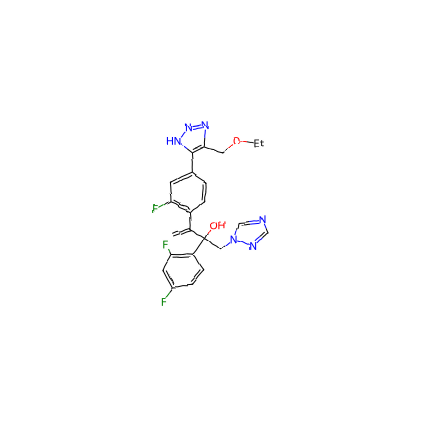 C=C(c1ccc(-c2[nH]nnc2COCC)cc1F)C(O)(Cn1cncn1)c1ccc(F)cc1F